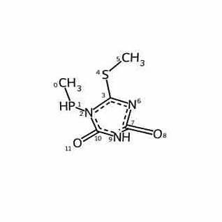 CPn1c(SC)nc(=O)[nH]c1=O